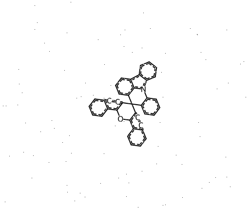 c1ccc2c(c1)-n1c3ccccc3c3cccc(c31)C21c2ccc3ccccc3c2Oc2c1ccc1ccccc21